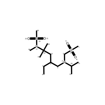 CCC(CN(CS(C)(=O)=O)C(C)C)CC(C)(C)N(C)S(C)(=O)=O